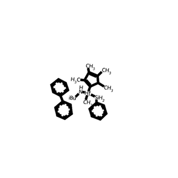 CCC(C)[NH][Hf]([CH3])([SiH2]c1ccccc1)[C]1=C(C)C(C)=C(C)C1C.c1ccc(-c2ccccc2)cc1